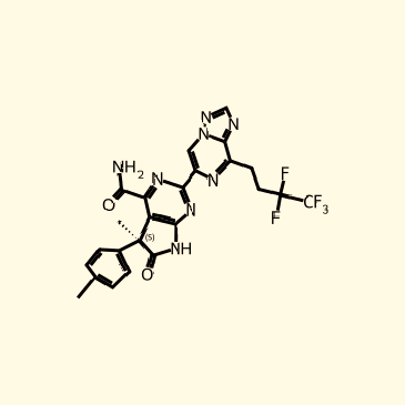 Cc1ccc([C@]2(C)C(=O)Nc3nc(-c4cn5ncnc5c(CCC(F)(F)C(F)(F)F)n4)nc(C(N)=O)c32)cc1